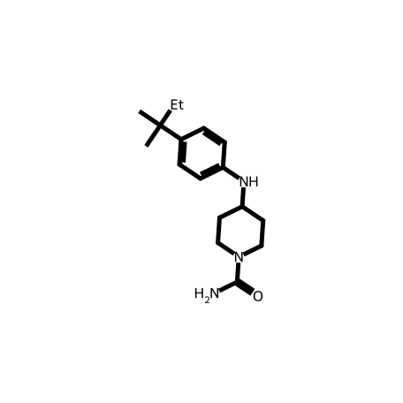 CCC(C)(C)c1ccc(NC2CCN(C(N)=O)CC2)cc1